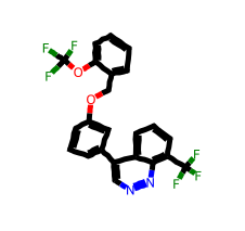 FC(F)(F)Oc1ccccc1COc1cccc(-c2cnnc3c(C(F)(F)F)cccc23)c1